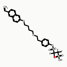 C=Cc1ccc2cc(OCCCCOCCc3ccc(OS(=O)(=O)C(F)(F)C(F)(F)S(=O)(=O)O)cc3)ccc2c1